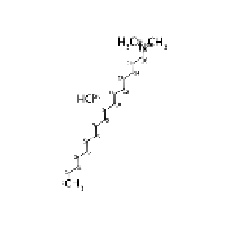 CCCCCCCCCCCCCCCCCN(C)C.Cl